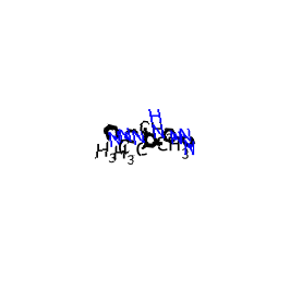 Cc1cc(C)c(N2CCN(c3ccccn3)[C@@H](C)C2)c(C)c1NC1CCN(c2cnccn2)CC1